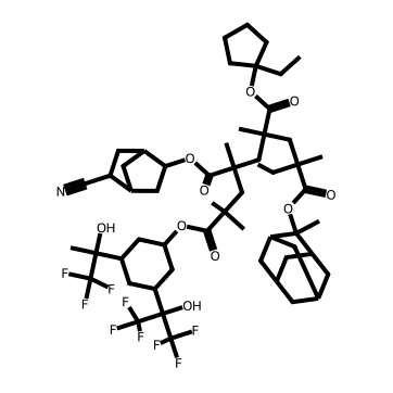 CCC1(OC(=O)C(C)(CC(C)(CC(C)(C)C(=O)OC2CC(C(C)(O)C(F)(F)F)CC(C(O)(C(F)(F)F)C(F)(F)F)C2)C(=O)OC2CC3CC2CC3C#N)CC(C)(CC)C(=O)OC2(C)C3CC4CC(C3)CC2C4)CCCC1